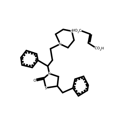 O=C(O)C=CC(=O)O.O=C1SC(Cc2ccccc2)CN1C(CCN1CCOCC1)c1ccccc1